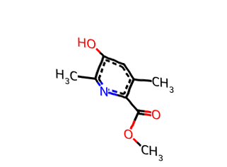 COC(=O)c1nc(C)c(O)cc1C